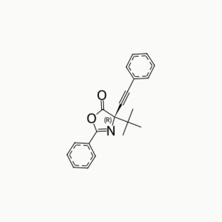 CC(C)(C)[C@]1(C#Cc2ccccc2)N=C(c2ccccc2)OC1=O